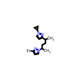 CCc1ccn(C(C)CCC(C)c2ccn(C3CC3)n2)n1